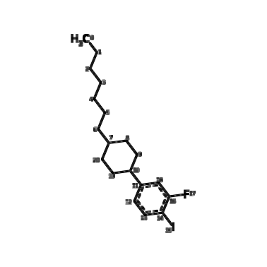 CCCCCCCC1CCC(c2ccc(I)c(F)c2)CC1